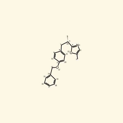 Cc1cnc([C@@H](C)Cc2ccc(OCc3ccccc3)cc2)o1